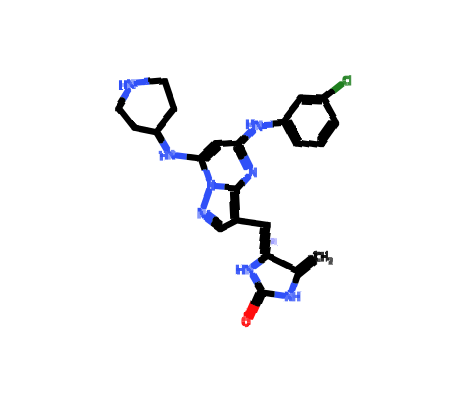 C=c1[nH]c(=O)[nH]/c1=C\c1cnn2c(NC3CCNCC3)cc(Nc3cccc(Cl)c3)nc12